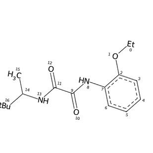 CCOc1ccccc1NC(=O)C(=O)NC(C)C(C)(C)C